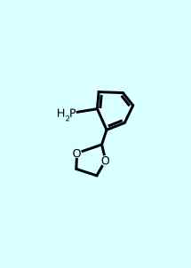 Pc1ccccc1C1OCCO1